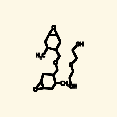 CC1CC2OC2CC1COCC1CC2OC2CC1C.OCCOCCO